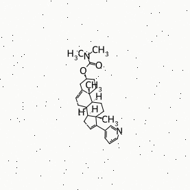 CN(C)C(=O)O[C@H]1CC[C@@]2(C)C(=CC[C@@H]3[C@@H]2CC[C@]2(C)C(c4cccnc4)=CC[C@@H]32)C1